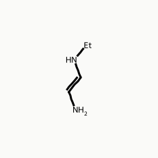 CCN/C=C/N